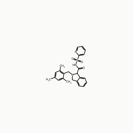 Cc1cc(C)c(CN2Cc3ccccc3C2C(=O)NS(=O)(=O)c2ccccn2)c(C)c1